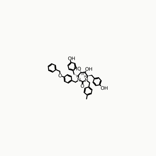 Cc1ccc(CN2C(=O)N(Cc3ccc(OCc4ccccc4)cc3)[C@H](Cc3ccc(O)cc3)[C@H](O)[C@@H](O)[C@H]2Cc2ccc(O)cc2)cc1